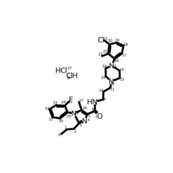 CCCc1nc(C(=O)NCCCN2CCN(c3cccc(Cl)c3C)CC2)c(C)n1-c1ccccc1F.Cl.Cl